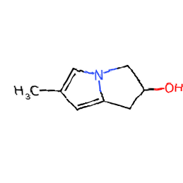 Cc1cc2n(c1)CC(O)C2